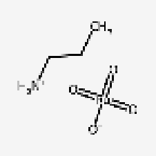 CCC[NH3+].[O]=[Ru](=[O])(=[O])[O-]